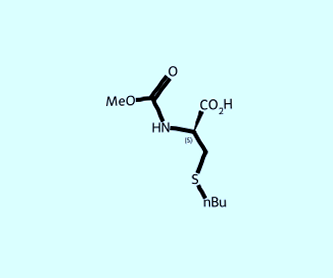 CCCCSC[C@@H](NC(=O)OC)C(=O)O